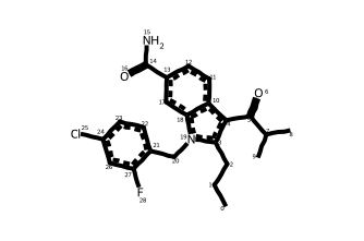 CCCc1c(C(=O)C(C)C)c2ccc(C(N)=O)cc2n1Cc1ccc(Cl)cc1F